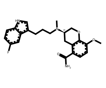 COc1ccc(C(N)=O)c2c1OC[C@H](N(C)CCCc1c[nH]c3ccc(F)cc13)C2